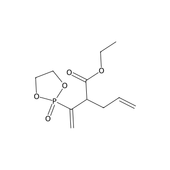 C=CCC(C(=C)P1(=O)OCCO1)C(=O)OCC